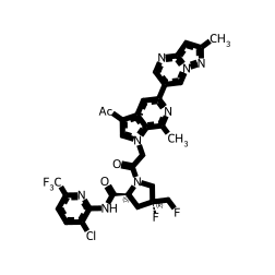 CC(=O)c1cn(CC(=O)N2C[C@@](F)(CF)C[C@H]2C(=O)Nc2nc(C(F)(F)F)ccc2Cl)c2c(C)nc(-c3cnc4cc(C)nn4c3)cc12